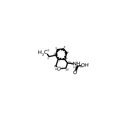 CCc1cccc2c1COCC2NC(=O)O